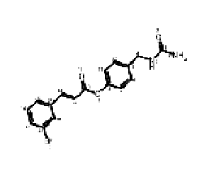 NC(=O)NCc1ccc(OC(=O)/C=C/c2cccc(Br)c2)cc1